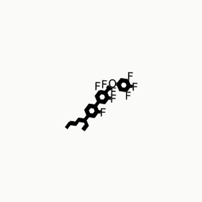 C=C/C(=C\C=C\C)c1ccc(-c2cc(F)c(C(F)(F)Oc3cc(F)c(F)c(F)c3)c(F)c2)c(F)c1